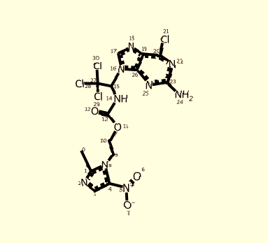 Cc1ncc([N+](=O)[O-])n1CCOC(=O)NC(n1cnc2c(Cl)nc(N)nc21)C(Cl)(Cl)Cl